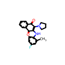 Cc1cc(F)ccc1NC1=C(N2CCCC2)C(=O)c2ccccc2C1=O